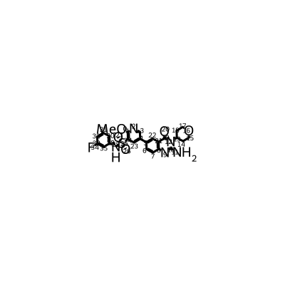 COc1ncc(-c2ccc3nc(N)n(C4CCOCC4)c(=O)c3c2)cc1S(=O)(=O)Nc1cccc(F)c1